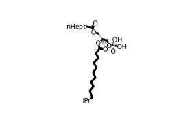 CCCCCCCC(=O)OC[C@H](COP(=O)(O)O)OC(=O)CCCCCCCCCCC(C)C